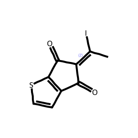 C/C(I)=C1\C(=O)c2ccsc2C1=O